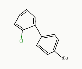 CC(C)(C)c1ccc(-c2ccccc2Cl)cc1